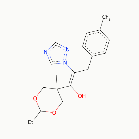 CCC1OCC(C)(/C(O)=C(/Cc2ccc(C(F)(F)F)cc2)n2cncn2)CO1